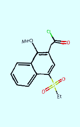 CCS(=O)(=O)c1cc(C(=O)Cl)c(OC)c2ccccc12